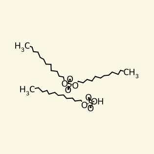 CCCCCCCCCCCCOS(=O)(=O)O.CCCCCCCCCCCCOS(=O)(=O)OCCCCCCCCCCCC